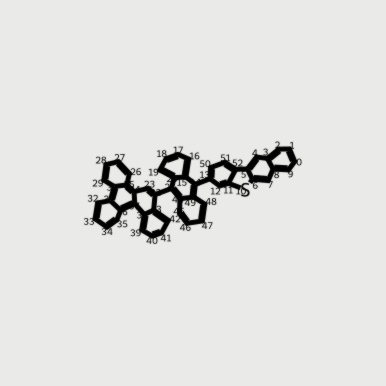 c1ccc2cc3c(cc2c1)sc1cc(-c2c4ccccc4c(-c4cc5c6ccccc6c6ccccc6c5c5ccccc45)c4ccccc24)ccc13